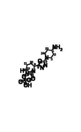 NC1CCN(c2nnc([C@@H]3CC[C@H]4CN3C(=O)N4OS(=O)(=O)O)o2)CC1